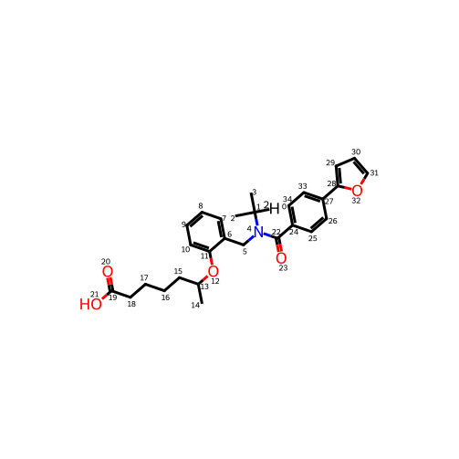 [2H]C(C)(C)N(Cc1ccccc1OC(C)CCCCC(=O)O)C(=O)c1ccc(-c2ccco2)cc1